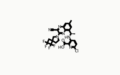 Cc1cc([C@@H](C)Nc2ccc(Cl)nc2C(=O)O)c2nc(N3CCC4(C3)CC(F)(F)C4(F)F)c(C#N)nc2c1